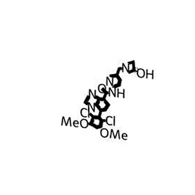 COc1cc(OC)c(Cl)c(-c2ccc(C(=O)Nc3ccc(CN4CC[C@H](O)C4)cn3)c3nccnc23)c1Cl